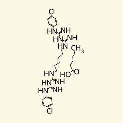 CCCCCC(=O)O.N=C(NCCCCCCNC(=N)NC(=N)Nc1ccc(Cl)cc1)NC(=N)Nc1ccc(Cl)cc1